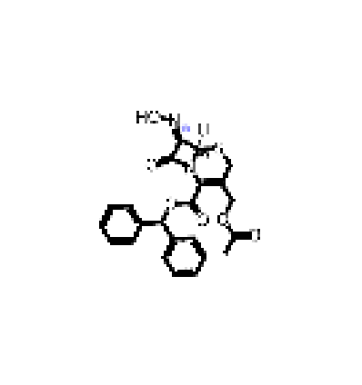 CC(=O)OCC1=C(C(=O)OC(c2ccccc2)c2ccccc2)N2C(=O)/C(=N\O)[C@H]2SC1